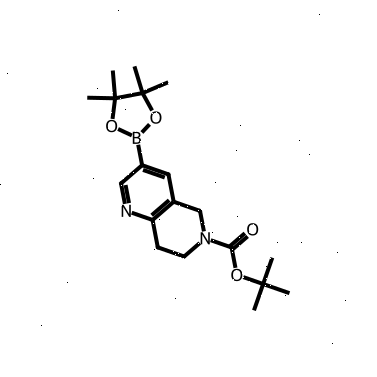 CC(C)(C)OC(=O)N1CCc2ncc(B3OC(C)(C)C(C)(C)O3)cc2C1